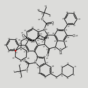 CC(C)(C)OC(=O)n1c(-c2cc(-c3ccccc3)c(Cl)c3c2C(C(=O)C2NCc4c(Cl)c(-c5ccccc5)cc(-c5cc6cc(CN7CCCCC7)ccc6n5C(=O)OC(C)(C)C)c42)NC3)cc2cc(CN3CCCCC3)ccc21